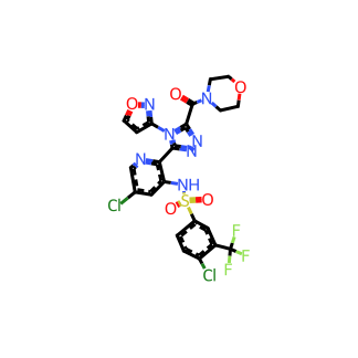 O=C(c1nnc(-c2ncc(Cl)cc2NS(=O)(=O)c2ccc(Cl)c(C(F)(F)F)c2)n1-c1ccon1)N1CCOCC1